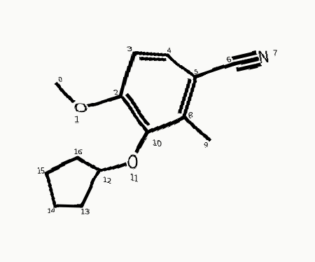 COc1ccc(C#N)c(C)c1OC1CCCC1